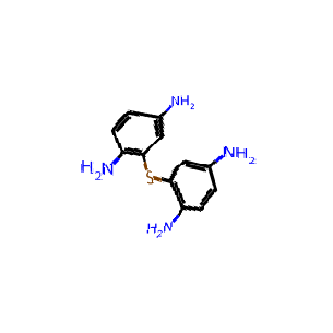 Nc1ccc(N)c(Sc2cc(N)ccc2N)c1